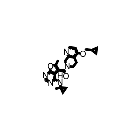 Cc1oc2ncnc(NC3(C)CC3)c2c1C(=O)N1CCc2c(OCC3CC3)ccnc2C1